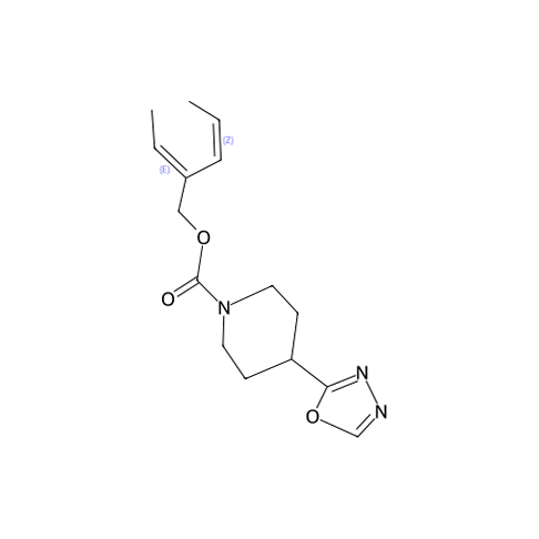 C/C=C\C(=C/C)COC(=O)N1CCC(c2nnco2)CC1